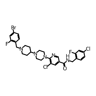 O=C(NCc1ccc(Cl)cc1F)c1cnc(N2CCN(C3CCN(Cc4ccc(Br)cc4F)CC3)CC2)c(Cl)c1